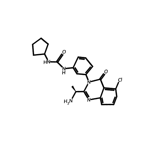 C[C@H](N)c1nc2cccc(Cl)c2c(=O)n1-c1cccc(NC(=O)NC2CCCC2)c1